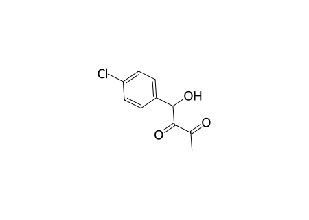 CC(=O)C(=O)C(O)c1ccc(Cl)cc1